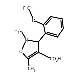 CC1=C(C(=O)O)C(c2ccccc2OC(F)(F)F)N(C)O1